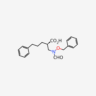 O=CN(C[C@@H](CCCc1ccccc1)C(=O)O)OCc1ccccc1